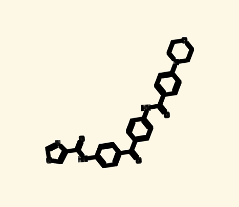 O=C(Nc1ccc(C(=O)c2ccc(NC(=O)c3cocn3)cc2)cc1)c1ccc(N2CCOCC2)cc1